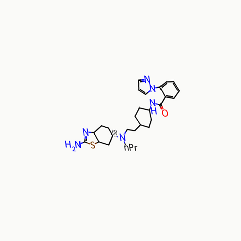 CCCN(CCC1CCC(NC(=O)c2ccccc2-n2cccn2)CC1)[C@H]1CCC2N=C(N)SC2C1